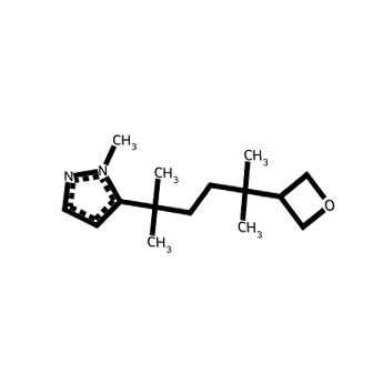 Cn1nccc1C(C)(C)CCC(C)(C)C1COC1